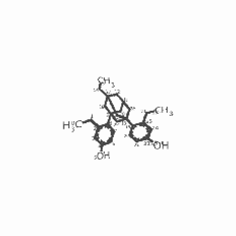 CCc1cc(O)ccc1C12CC3CC(CC)(C1)CC(c1ccc(O)cc1CC)(C3)C2